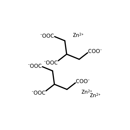 O=C([O-])CC(CC(=O)[O-])C(=O)[O-].O=C([O-])CC(CC(=O)[O-])C(=O)[O-].[Zn+2].[Zn+2].[Zn+2]